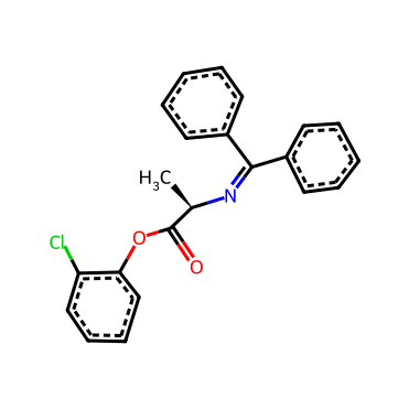 C[C@@H](N=C(c1ccccc1)c1ccccc1)C(=O)Oc1ccccc1Cl